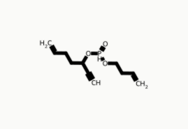 C#CC(CCC=C)O[PH](=O)OCCC=C